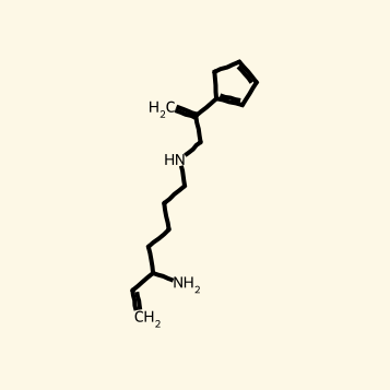 C=CC(N)CCCCNCC(=C)C1=CC=CC1